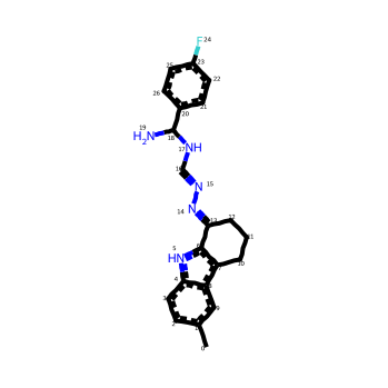 Cc1ccc2[nH]c3c(c2c1)CCCC3=NN=CNC(N)c1ccc(F)cc1